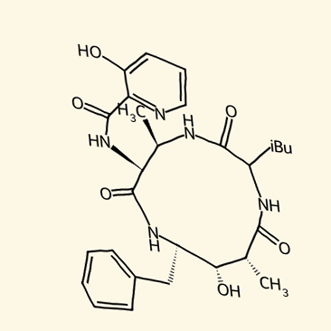 CCC(C)C1NC(=O)[C@H](C)[C@H](O)[C@H](Cc2ccccc2)NC(=O)[C@@H](NC(=O)c2ncccc2O)[C@@H](C)NC1=O